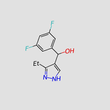 CCc1n[nH]cc1C(O)c1cc(F)cc(F)c1